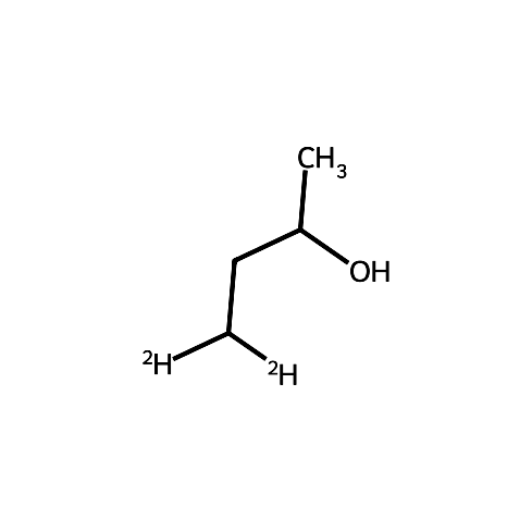 [2H]C([2H])CC(C)O